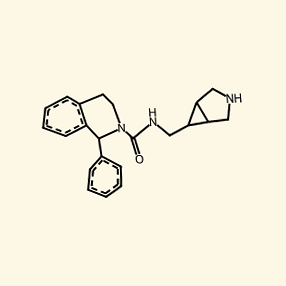 O=C(NCC1C2CNCC21)N1CCc2ccccc2C1c1ccccc1